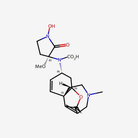 CO[C@]1(N(C(=O)O)[C@H]2C=C[C@@]34CCN(C)Cc5cccc(c53)O[C@H]4C2)CCN(O)C1=O